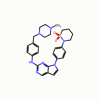 CN1CCN(Cc2ccc(Nc3ncc4ccn(-c5ccc(N6CCCCS6(=O)=O)cc5)c4n3)cc2)CC1